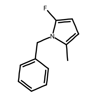 Cc1ccc(F)n1Cc1ccccc1